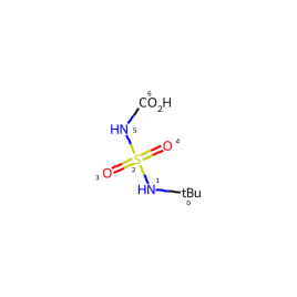 CC(C)(C)NS(=O)(=O)NC(=O)O